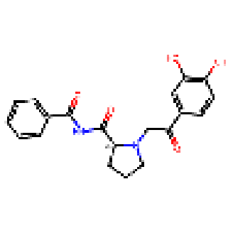 O=C(CN1CCC[C@H]1C(=O)NC(=O)c1ccccc1)c1ccc(O)c(O)c1